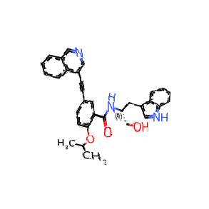 CC(C)Oc1ccc(C#Cc2cncc3ccccc23)cc1C(=O)N[C@@H](CO)Cc1c[nH]c2ccccc12